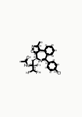 CC(=O)N[C@](F)(C[C@@H]1N=C(c2ccc(Cl)cc2)c2ccccc2-c2c(C)noc21)C(F)F